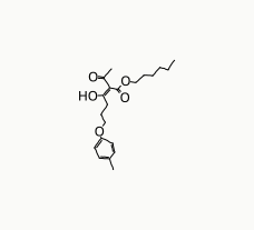 CCCCCCOC(=O)/C(C(C)=O)=C(/O)CCCOc1ccc(C)cc1